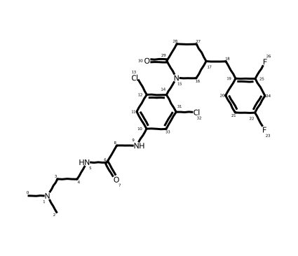 CN(C)CCNC(=O)CNc1cc(Cl)c(N2CC(Cc3ccc(F)cc3F)CCC2=O)c(Cl)c1